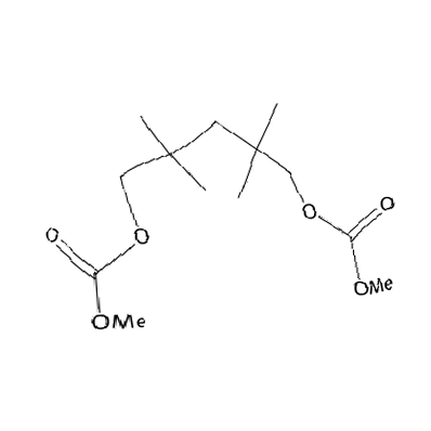 COC(=O)OCC(C)(C)CC(C)(C)COC(=O)OC